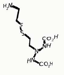 NCCSSCCN(NC(=O)O)NC(=O)O